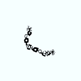 O=[N+]([O-])c1cn2c(n1)OC(COc1ccc(N3CCN(Cc4ccc(Oc5cccc(C(F)(F)F)c5)cc4)CC3)cc1)CC2